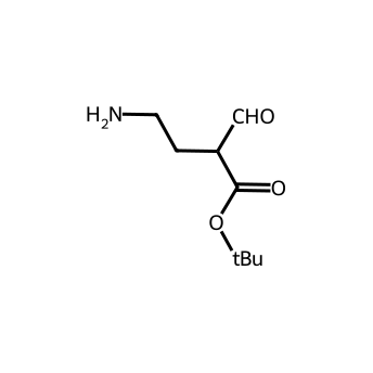 CC(C)(C)OC(=O)C(C=O)CCN